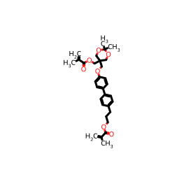 C=C(C)C(=O)OCCCc1ccc(-c2ccc(OCC3(COC(=O)C(=C)C)COC(C)(C)OC3)cc2)cc1